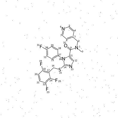 CN(Cc1ccncc1)C(=O)c1cnc(SCc2c(F)ccc(F)c2F)n1-c1ccc(F)cc1